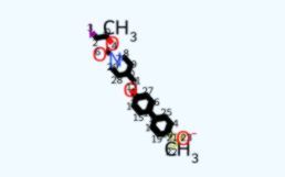 CC(CI)OC(=O)N1CCC(COc2ccc(-c3ccc([S+](C)[O-])cc3)cc2)CC1